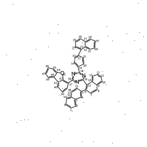 c1ccc2cc(-c3ccc4ccccc4c3-c3nc(-c4ccc(-c5cccc6ccccc56)cc4)nc(-c4cccc5c4oc4ccccc45)n3)ccc2c1